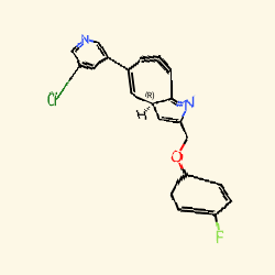 FC1=CCC(OCC2=C[C@H]3C=C(c4cncc(Cl)c4)C=C=CC3=N2)C=C1